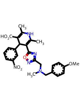 COc1ccc(CN(C)Cc2noc(C3=C(C)NC(C)=C(C(=O)O)C3c3cccc([N+](=O)[O-])c3)n2)cc1